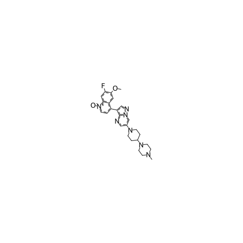 COc1cc2c(-c3cnn4cc(N5CCC(N6CCN(C)CC6)CC5)cnc34)cc[n+]([O-])c2cc1F